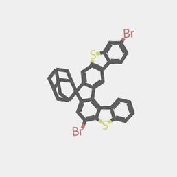 Brc1ccc2c(c1)sc1cc3c(cc12)-c1c(cc(Br)c2sc4ccccc4c12)C31C2CC3CC(C2)CC1C3